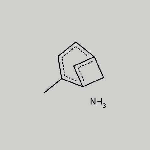 Cc1ccc2cc1C2.N